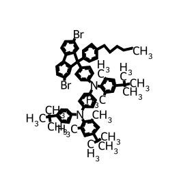 CCCCCCc1ccc(C2(c3ccc(N(c4ccc(N(c5ccc(C(C)(C)C)cc5)c5c(C)cc(C(C)(C)C)cc5C)cc4)c4c(C)cc(C(C)(C)C)cc4C)cc3)c3cc(Br)ccc3-c3ccc(Br)cc32)cc1